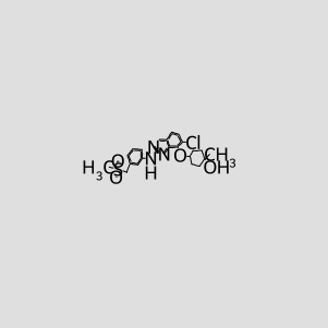 CC1(O)CCC(Oc2c(Cl)ccc3cnc(Nc4cccc(CS(C)(=O)=O)c4)nc23)CC1